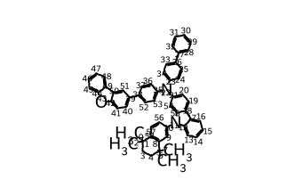 CC1(C)CCC(C)(C)c2cc(-n3c4ccccc4c4ccc(N(c5ccc(-c6ccccc6)cc5)c5ccc(-c6ccc7oc8ccccc8c7c6)cc5)cc43)ccc21